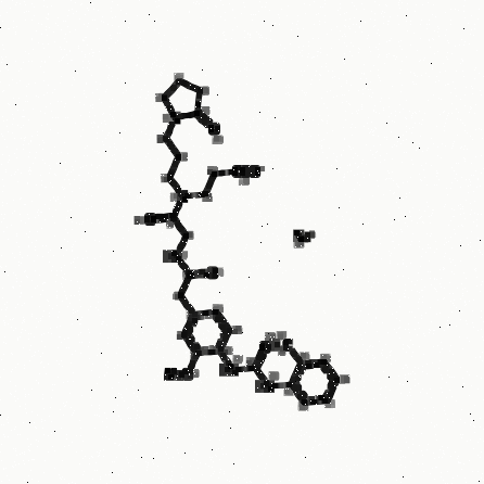 COc1cc(CC(=O)NCC(=O)N(CCCN2CCCC2=O)CCC(=O)[O-])ccc1NC(=O)Nc1ccccc1C.[Na+]